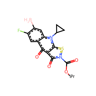 Bc1cc2c(cc1F)c(=O)c1c(=O)n(C(=O)OC(C)C)sc1n2C1CC1